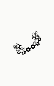 COC(=O)N[C@H](C(=O)N1[C@H](c2ncc(-c3ccc(-c4ccc(-c5cnc([C@@H]6CCN(C)N6C(=O)[C@@H](NC(=O)OC)C(C)C)[nH]5)cc4)cc3)[nH]2)CCN1C)C(C)C